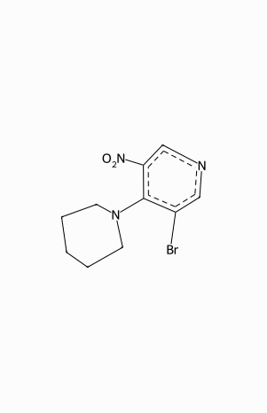 O=[N+]([O-])c1cncc(Br)c1N1CCCCC1